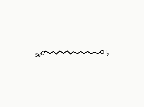 CCCCCCCCCCCCCCCCC=C=[Se]